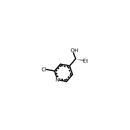 CC[C@@H](O)c1ccnc(Cl)c1